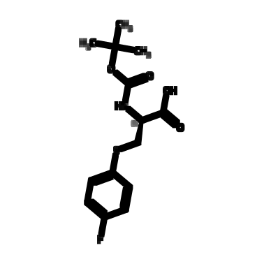 CC(C)(C)OC(=O)N[C@H](CSc1ccc(F)cc1)C(=O)O